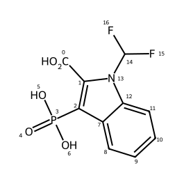 O=C(O)c1c(P(=O)(O)O)c2ccccc2n1C(F)F